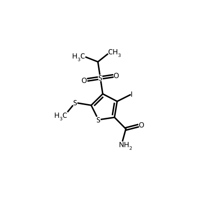 CSc1sc(C(N)=O)c(I)c1S(=O)(=O)C(C)C